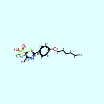 CCCCCCOc1ccc(-c2nc(C)c(S(=O)(=O)Cl)s2)cc1